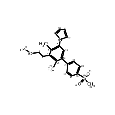 CCCOCCc1c(C)c(-n2cccc2)cc(-c2ccc(S(C)(=O)=O)cc2)c1C(F)(F)F